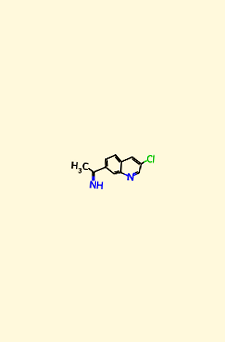 CC(=N)c1ccc2cc(Cl)cnc2c1